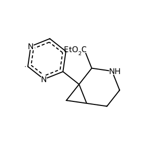 CCOC(=O)C1NCCC2CC21c1ccn[c]n1